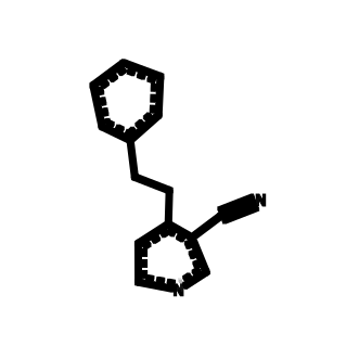 N#Cc1cnccc1CCc1ccccc1